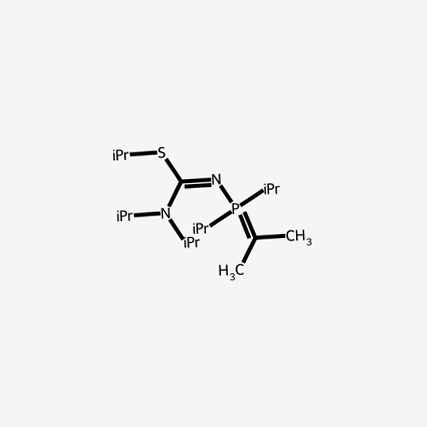 CC(C)=P(N=C(SC(C)C)N(C(C)C)C(C)C)(C(C)C)C(C)C